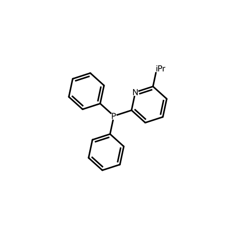 CC(C)c1cccc(P(c2ccccc2)c2ccccc2)n1